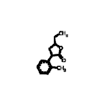 CCC1CC(c2ccccc2C)C(=O)O1